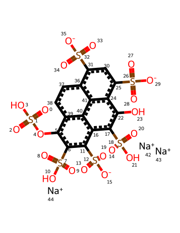 O=S(=O)(O)Oc1c(S(=O)(=O)O)c(S(=O)(=O)[O-])c2c(S(=O)(=O)O)c(O)c3c(S(=O)(=O)[O-])cc(S(=O)(=O)[O-])c4ccc1c2c43.[Na+].[Na+].[Na+]